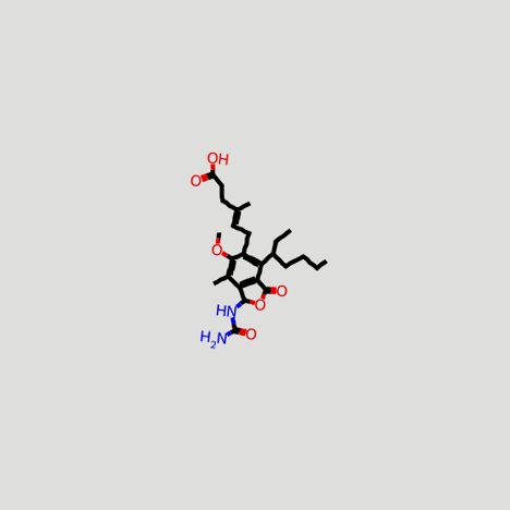 CCCCC(CC)c1c(C/C=C(\C)CCC(=O)O)c(OC)c(C)c2c1C(=O)OC2NC(N)=O